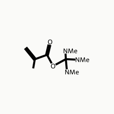 C=C(C)C(=O)OC(NC)(NC)NC